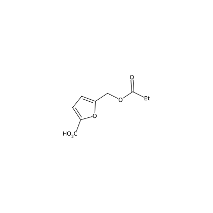 CCC(=O)OCc1ccc(C(=O)O)o1